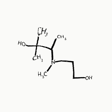 CC(N(C)CCO)C(C)(C)O